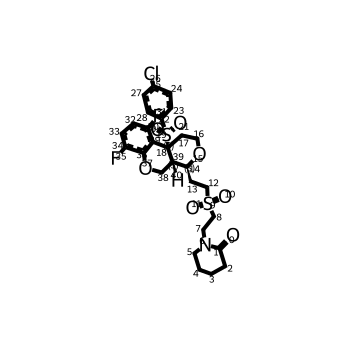 O=C1CCCCN1CCS(=O)(=O)CC[C@@H]1OCC[C@@]2(S(=O)(=O)c3ccc(Cl)cc3)c3c(F)ccc(F)c3OC[C@@H]12